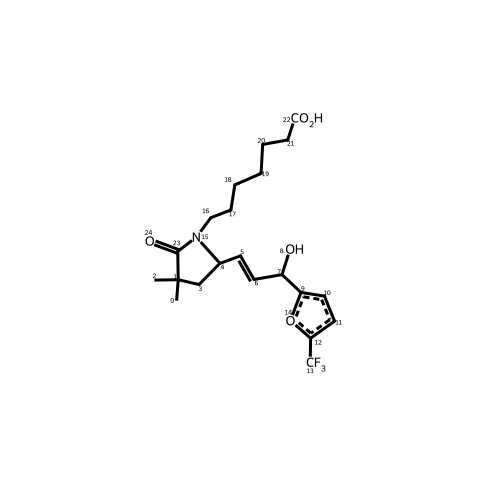 CC1(C)CC(C=CC(O)c2ccc(C(F)(F)F)o2)N(CCCCCCC(=O)O)C1=O